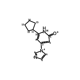 O=c1cc(-n2ccnc2)cc(C2CCCC2)[nH]1